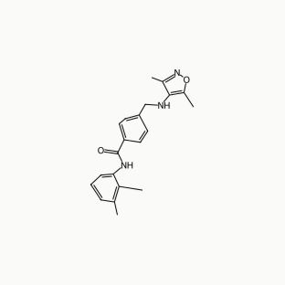 Cc1cccc(NC(=O)c2ccc(CNc3c(C)noc3C)cc2)c1C